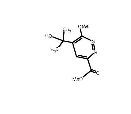 COC(=O)c1cc(C(C)(C)O)c(OC)nn1